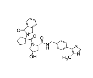 Cc1ncsc1-c1ccc(CNC(=O)[C@@H]2C[C@@H](O)CN2C(=O)C2(N3Cc4ccccc4C3=O)CCCC2)cc1